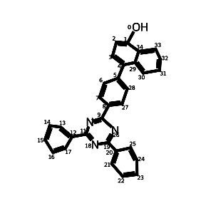 Oc1ccc(-c2ccc(-c3nc(-c4ccccc4)nc(-c4ccccc4)n3)cc2)c2ccccc12